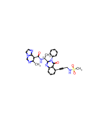 Cc1ncn2ccnc2c1C(=O)N[C@@H](C)c1nc2cccc(C#CCNS(C)(=O)=O)c2c(=O)n1-c1ccccc1